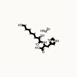 O=C(NC(Cc1c[nH]cn1)C(=O)O)C(S)CCCCCCS.[NaH].[Zn]